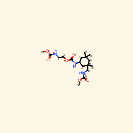 COC(=O)NCCOC(=O)NC1CC(C)(C)CC(C)(CNC(=O)OC)C1